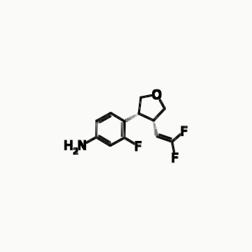 Nc1ccc([C@@H]2COC[C@@H]2C=C(F)F)c(F)c1